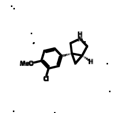 COc1ccc([C@]23CNC[C@H]2C3)cc1Cl